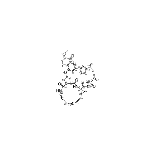 COc1ccc2c(OC3CC4C(=O)NC5(C(=O)NS(=O)(=O)C6CC6)CC5C=CCCCCCNC(=O)N4C3)cc(-c3nc(C(C)C)cs3)nc2c1Cl